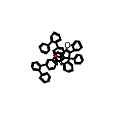 c1ccc(-c2ccccc2-c2ccc3c(c2)c2cc(-c4ccccc4-c4ccccc4)ccc2n3-c2ccccc2C2(c3ccccc3)c3ccccc3-c3oc4ccccc4c32)cc1